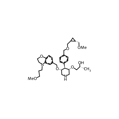 COCCCN1CCOc2ccc(CO[C@H]3CNC[C@@H](OC[C@@H](C)O)[C@@H]3c3ccc(COCC4C[C@@H]4COC)cc3)cc21